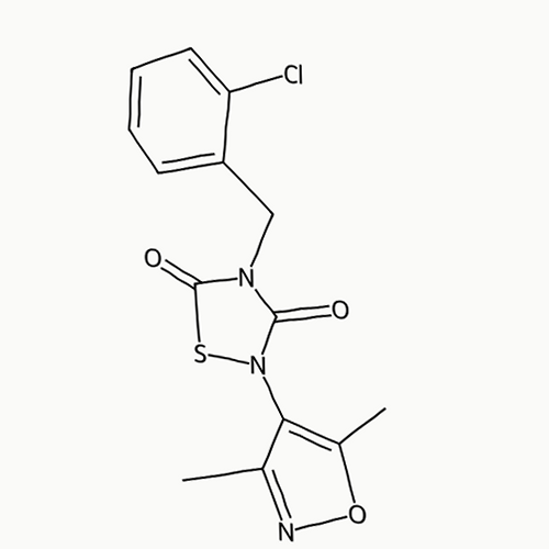 Cc1noc(C)c1-n1sc(=O)n(Cc2ccccc2Cl)c1=O